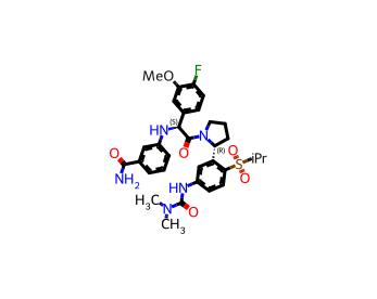 COc1cc([C@H](Nc2cccc(C(N)=O)c2)C(=O)N2CCC[C@@H]2c2cc(NC(=O)N(C)C)ccc2S(=O)(=O)C(C)C)ccc1F